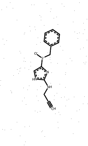 C#CCNc1nc([S+]([O-])Cc2ccccc2)c[nH]1